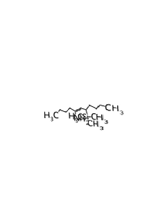 CCCCC(N)=CC(CCCC)[Si](C)(C)C